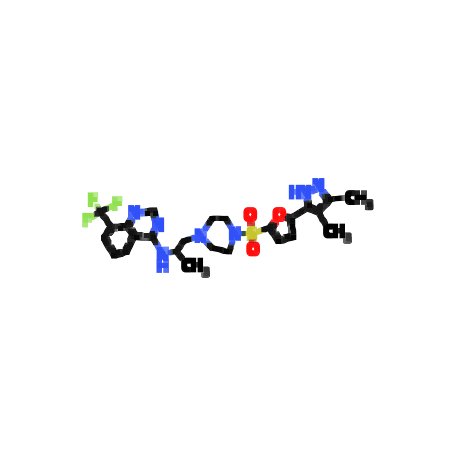 Cc1n[nH]c(-c2ccc(S(=O)(=O)N3CCN(CC(C)Nc4ncnc5c(C(F)(F)F)cccc45)CC3)o2)c1C